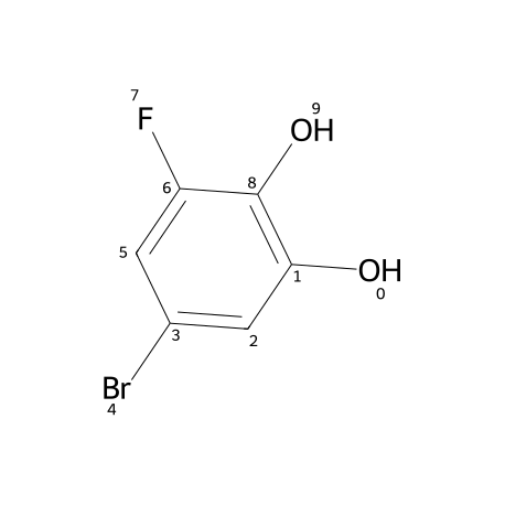 Oc1cc(Br)cc(F)c1O